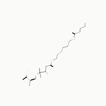 CC(=COC(C)(C)C(C)CC(=O)NCCCCCCNC(=O)CCC[O])C(=O)O